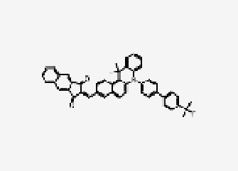 CC(C)(F)c1ccc(-c2ccc(N3c4ccccc4C(C)(C)c4c3ccc3cc(C=C5C(=O)c6cc7ccccc7cc6C5=O)ccc43)cc2)cc1